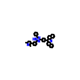 Cc1ccc(-c2cccc(C3N=C(c4ccc(C5=c6ccc7ccccc7c6=NC6C5CCC5CCC=CC56)cc4)N=C(c4ccccc4)N3)c2)c(C)n1